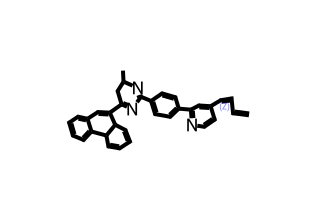 C=C/C=C\c1ccnc(-c2ccc(C3=NC(C)CC(C4=Cc5ccccc5C5C=CC=CC45)=N3)cc2)c1